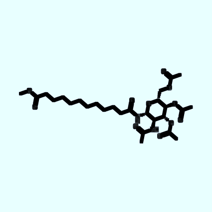 COC(=O)CCCCCCCCCCC(=O)N[C@@H]1O[C@H](COC(C)=O)[C@@H](OC(C)=O)[C@H](OC(C)=O)[C@H]1NC(C)=O